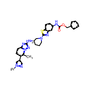 Cc1c(-c2cnn(C(C)C)c2)ccc2nc(N[C@@H]3CCCN(c4nc5cc(NC(=O)OCc6ccccc6)ccc5s4)C3)nn12